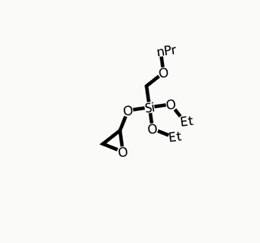 CCCOC[Si](OCC)(OCC)OC1CO1